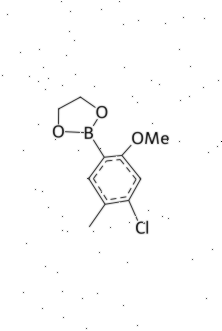 COc1cc(Cl)c(C)cc1B1OCCO1